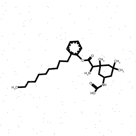 CCCCCCCCCCc1ccccc1OC(=O)C(N)C1(C)CC(NC(=O)O)CC(C)(C)C1